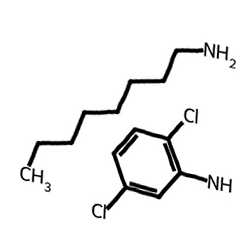 CCCCCCCCN.Nc1cc(Cl)ccc1Cl